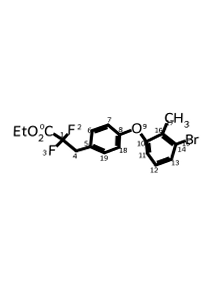 CCOC(=O)C(F)(F)Cc1ccc(Oc2cccc(Br)c2C)cc1